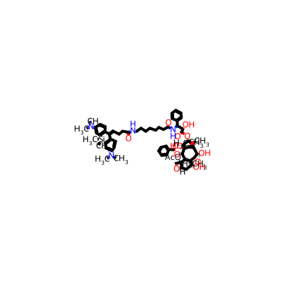 CC(=O)O[C@@]12CO[C@@H]1C[C@H](O)[C@@]1(C)C(=O)[C@H](O)C3=C(C)[C@@H](OC(=O)C(O)C(NC(=O)CCCCCCCNC(=O)CCC=C4c5ccc(N(C)C)cc5[Si](C)(C)c5cc(N(C)C)ccc54)c4ccccc4)C[C@@](O)([C@@H](OC(=O)c4ccccc4)[C@H]21)C3(C)C